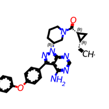 [CH]=C[C@H]1C[C@H]1C(=O)N1CCC[C@@H](n2nc(-c3ccc(Oc4ccccc4)cc3)c3c(N)ncnc32)C1